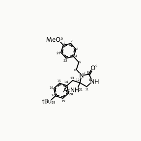 COc1ccc(CCN2C(=O)NCC2(Cc2ccc(C(C)(C)C)cc2)NC(C)=O)cc1